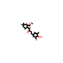 COc1sc(C(=O)CCc2cc(C)c(O)c(C)c2)c2c1CC(C)(C)CC2